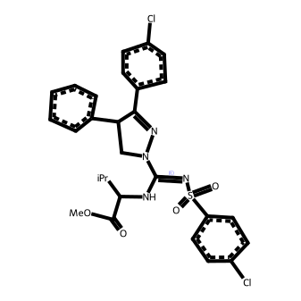 COC(=O)C(N/C(=N\S(=O)(=O)c1ccc(Cl)cc1)N1CC(c2ccccc2)C(c2ccc(Cl)cc2)=N1)C(C)C